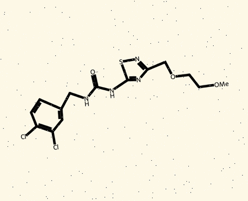 COCCOCc1nsc(NC(=O)NCc2ccc(Cl)c(Cl)c2)n1